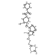 Cc1c(OCCN2CCN(C)CC2)cn2ncnc(Oc3ccc(NC(=O)c4cccnc4)cc3F)c12